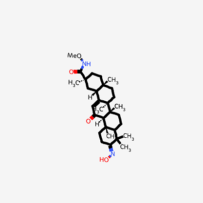 CONC(=O)[C@@]1(C)CC[C@]2(C)CC[C@]3(C)C(=CC(=O)[C@@H]4[C@@]5(C)CCC(=NO)C(C)(C)C5CC[C@]43C)[C@@H]2C1